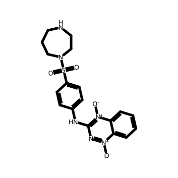 O=S(=O)(c1ccc(Nc2n[n+]([O-])c3ccccc3[n+]2[O-])cc1)N1CCCNCC1